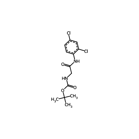 CC(C)(C)OC(=O)NCC(=O)Nc1ccc(Cl)cc1Cl